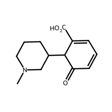 CN1CCCC(C2C(=O)C=CC=C2C(=O)O)C1